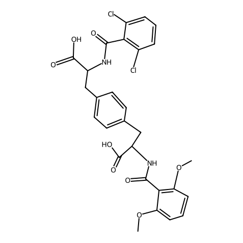 COc1cccc(OC)c1C(=O)NC(Cc1ccc(CC(NC(=O)c2c(Cl)cccc2Cl)C(=O)O)cc1)C(=O)O